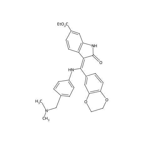 CCOC(=O)c1ccc2c(c1)NC(=O)C2=C(Nc1ccc(CN(C)C)cc1)c1ccc2c(c1)OCCO2